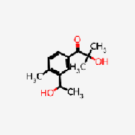 Cc1ccc(C(=O)C(C)(C)O)cc1C(C)O